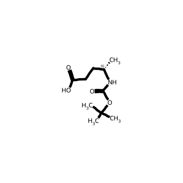 C[C@@H]([CH]CC(=O)O)NC(=O)OC(C)(C)C